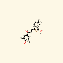 COc1sc(C=CC(=O)c2cc(C)c(O)c(C)c2)c2c1CC(C)(C)CC2